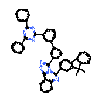 CC1(C)c2ccccc2-c2ccc(-c3nc4ccccc4c4nnc(-c5cccc(-c6cccc(-c7nc(-c8ccccc8)nc(-c8ccccc8)n7)c6)c5)n34)cc21